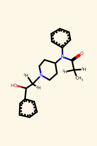 [2H]C([2H])(C)C(=O)N(c1ccccc1)C1CCN(C([2H])([2H])C(O)c2ccccc2)CC1